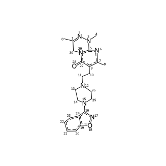 CC1=NN(C)c2nc(C)c(CCN3CCN(c4noc5ccccc45)CC3)c(=O)n2C1